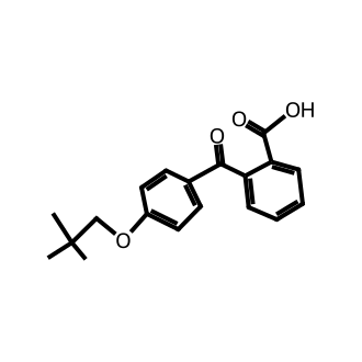 CC(C)(C)COc1ccc(C(=O)c2ccccc2C(=O)O)cc1